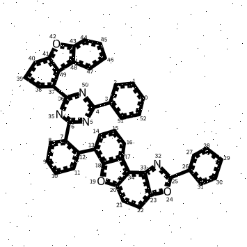 c1ccc(-c2nc(-c3ccccc3-c3cccc4c3oc3ccc5oc(-c6ccccc6)nc5c34)nc(-c3cccc4oc5ccccc5c34)n2)cc1